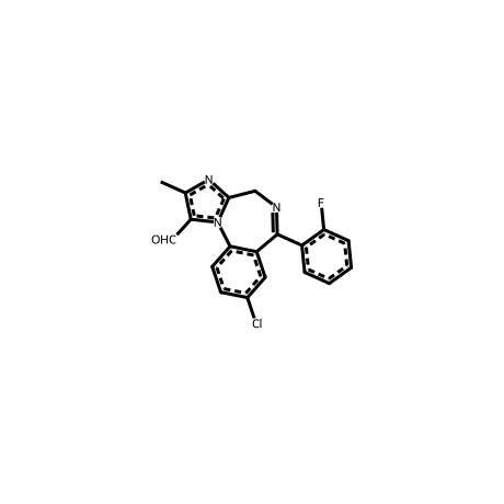 Cc1nc2n(c1C=O)-c1ccc(Cl)cc1C(c1ccccc1F)=NC2